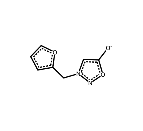 [O-]c1c[n+](Cc2ccco2)no1